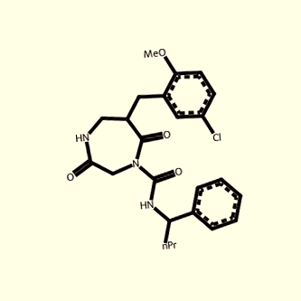 CCCC(NC(=O)N1CC(=O)NCC(Cc2cc(Cl)ccc2OC)C1=O)c1ccccc1